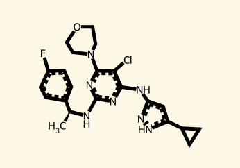 C[C@H](Nc1nc(Nc2cc(C3CC3)[nH]n2)c(Cl)c(N2CCOCC2)n1)c1ccc(F)cc1